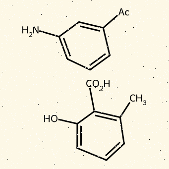 CC(=O)c1cccc(N)c1.Cc1cccc(O)c1C(=O)O